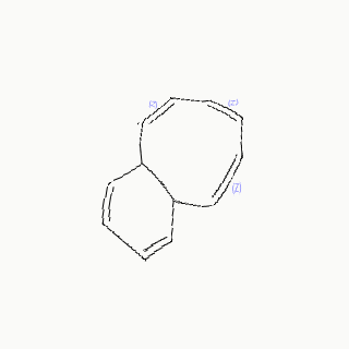 [C]1=C/C=C\C=C/C2C=CC=CC\12